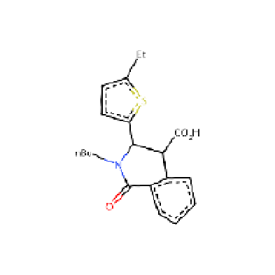 CCCCN1C(=O)c2ccccc2C(C(=O)O)C1c1ccc(CC)s1